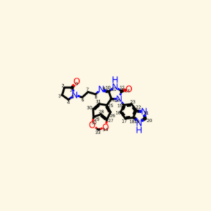 O=C1CCCN1CCC/N=C1/NC(=O)N(c2ccc3[nH]cnc3c2)C1C1=CC2=CC(C=C1)OCO2